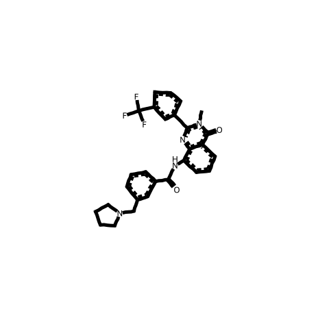 Cn1c(-c2cccc(C(F)(F)F)c2)nc2c(NC(=O)c3cccc(CN4CCCC4)c3)cccc2c1=O